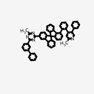 Cc1cc(-c2ccccc2-c2cccc3c2-c2ccccc2C32c3ccccc3-c3cc(-c4nc(C)nc(-c5cccc(-c6ccccc6)c5)n4)ccc32)c(-c2ccccc2)cn1